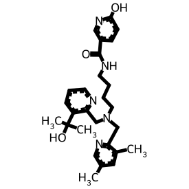 Cc1cnc(CN(CCCCNC(=O)c2ccc(O)nc2)Cc2ncccc2C(C)(C)O)c(C)c1